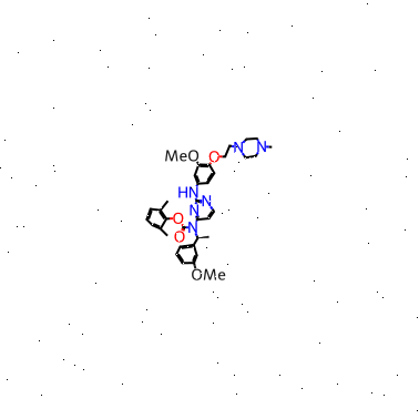 COc1cccc([C@H](C)N(C(=O)Oc2c(C)cccc2C)c2ccnc(Nc3ccc(OCCN4CCN(C)CC4)c(OC)c3)n2)c1